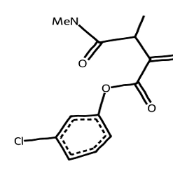 C=C(C(=O)Oc1cccc(Cl)c1)C(C)C(=O)NC